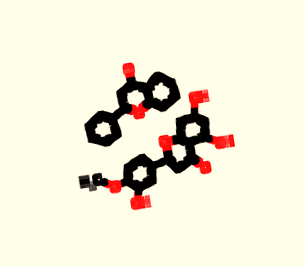 COc1ccc(-c2cc(=O)c3c(O)cc(O)cc3o2)cc1O.O=c1cc(-c2ccccc2)oc2ccccc12